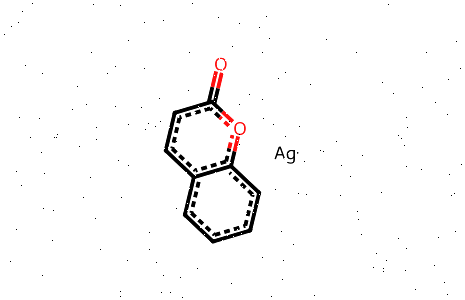 O=c1ccc2ccccc2o1.[Ag]